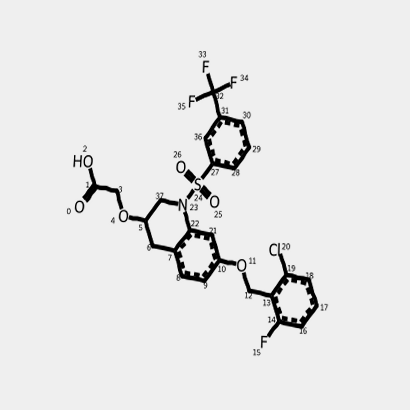 O=C(O)COC1Cc2ccc(OCc3c(F)cccc3Cl)cc2N(S(=O)(=O)c2cccc(C(F)(F)F)c2)C1